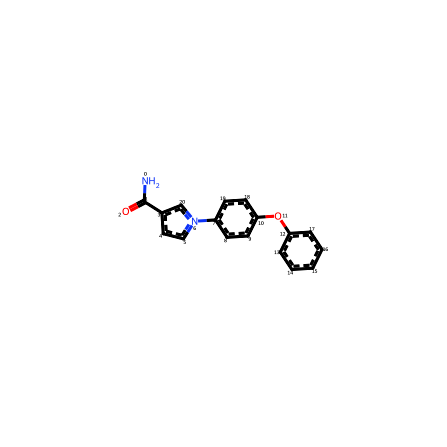 NC(=O)c1ccn(-c2ccc(Oc3ccccc3)cc2)c1